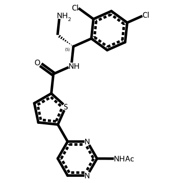 CC(=O)Nc1nccc(-c2ccc(C(=O)N[C@H](CN)c3ccc(Cl)cc3Cl)s2)n1